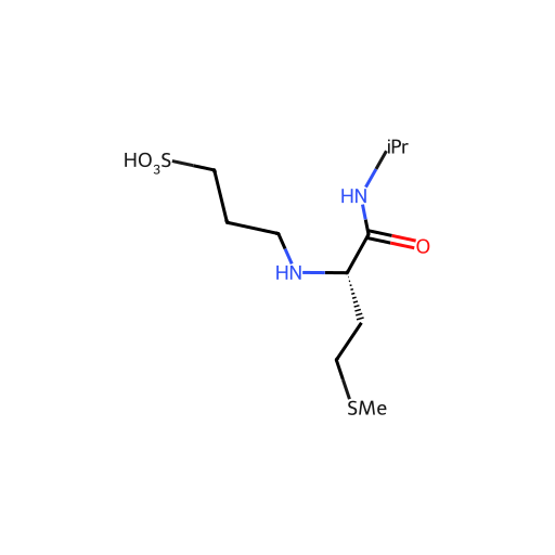 CSCC[C@H](NCCCS(=O)(=O)O)C(=O)NC(C)C